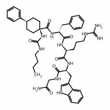 CCCCNC(=O)N[C@]1(C(=O)N[C@H](Cc2ccccc2)C(=O)N[C@@H](CCCNC(=N)N)C(=O)N[C@@H](Cc2c[nH]c3ccccc23)C(=O)NCC(N)=O)CC[C@H](c2ccccc2)CC1